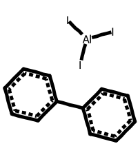 [I][Al]([I])[I].c1ccc(-c2ccccc2)cc1